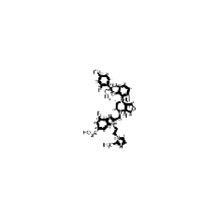 Cc1nccn1CCn1c(CN2CCN(c3cccc4c3O[C@](C)(c3ccc(Cl)cc3F)O4)[C@H]3COC[C@H]32)nc2c(F)cc(C(=O)O)cc21